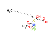 CCCCCCCCCCCCC#C[C@@H](SC[C@H](NC(=O)C(F)(F)F)C(=O)OC)[C@@H](O)CCCC(=O)O